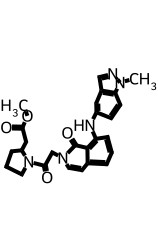 COC(=O)CC1CCCN1C(=O)Cn1ccc2cccc(Nc3ccc4c(cnn4C)c3)c2c1=O